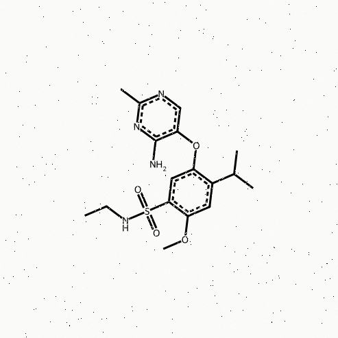 CCNS(=O)(=O)c1cc(Oc2cnc(C)nc2N)c(C(C)C)cc1OC